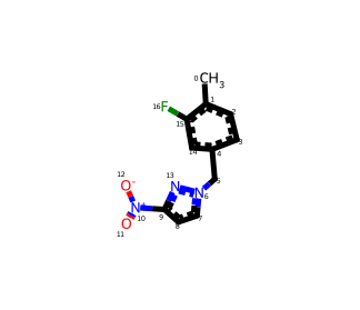 Cc1ccc(Cn2ccc([N+](=O)[O-])n2)cc1F